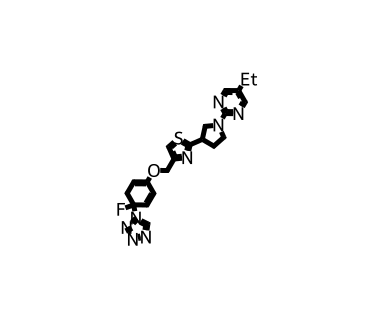 CCc1cnc(N2CCC(c3nc(COC4=CCC(F)(n5cnnn5)C=C4)cs3)C2)nc1